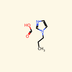 CCCn1ccnc1.O=CO